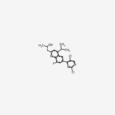 CC(O)Cc1cc(C(C)C)c2cc(-c3nc(Cl)ncc3Cl)cc(F)c2n1